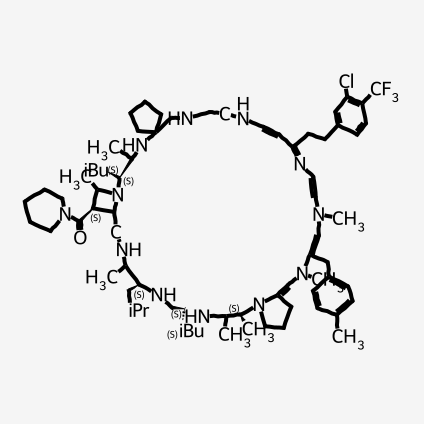 CC[C@H](C)[C@H]1C(C)NC2(CCCC2)CNCCNC=CC(CCc2ccc(C(F)(F)F)c(Cl)c2)=NC=CN(C)C=C(Cc2ccc(C)cc2)N(C)C=C2CCCN2[C@@H](C)C(C)N[C@@H]([C@@H](C)CC)CN[C@@H](CC(C)C)C(C)NCC2[C@@H](C(=O)N3CCCCC3)C(C)N21